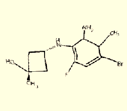 CC1C(Br)=CC(F)=C(N[C@H]2C[C@@](C)(O)C2)C1N